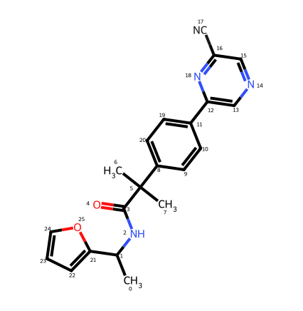 CC(NC(=O)C(C)(C)c1ccc(-c2cncc(C#N)n2)cc1)c1ccco1